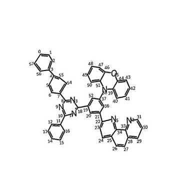 c1ccc(-c2ccc(-c3nc(-c4ccccc4)nc(-c4cc(-c5ccc6ccc7cccnc7c6n5)cc(N5c6ccccc6Oc6ccccc65)c4)n3)cc2)cc1